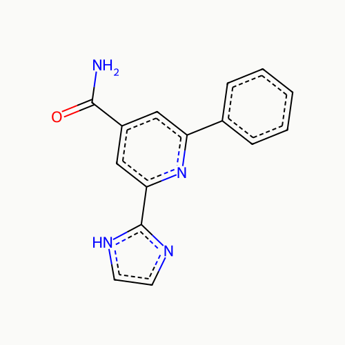 NC(=O)c1cc(-c2ccccc2)nc(-c2ncc[nH]2)c1